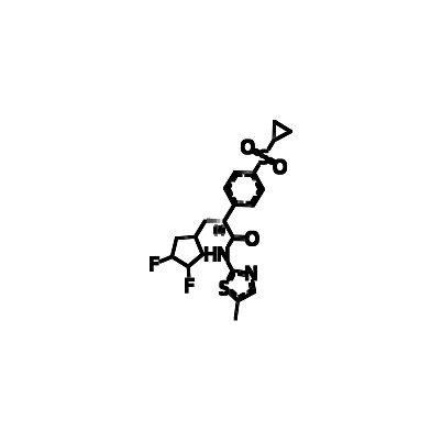 Cc1cnc(NC(=O)[C@H](CC2CC(F)C(F)C2)c2ccc(S(=O)(=O)C3CC3)cc2)s1